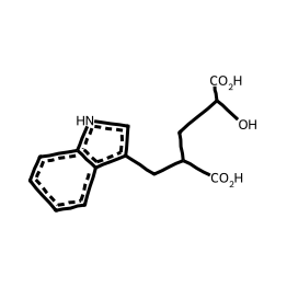 O=C(O)C(O)CC(Cc1c[nH]c2ccccc12)C(=O)O